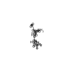 NC(=O)NCCC[C@H](NC(=O)CNC(=O)CCCCCN1C(=O)C=CC1=O)C(=O)Nc1ccc(CCC(=O)N2CC[C@@H]3CC([C@@H](c4nc(-c5cc(F)ccc5F)cn4Cc4ccccc4)C4CCOCC4)C(=O)[C@@H](O)C32)cc1